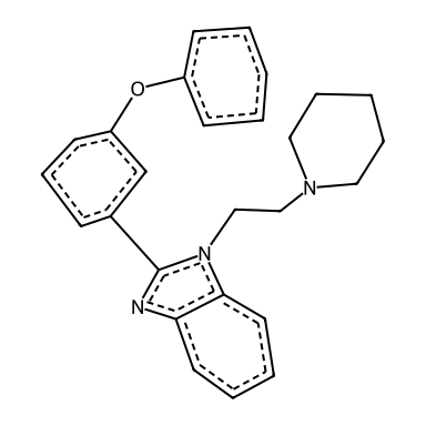 c1ccc(Oc2cccc(-c3nc4ccccc4n3CCN3CCCCC3)c2)cc1